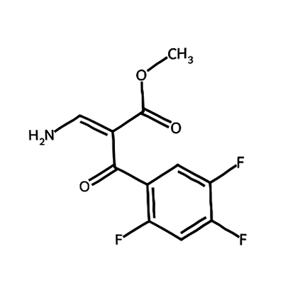 COC(=O)/C(=C/N)C(=O)c1cc(F)c(F)cc1F